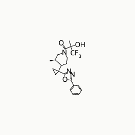 C[C@H]1CN(C(=O)C(C)(O)C(F)(F)F)CCC1C1(c2nnc(-c3ccccc3)o2)CC1